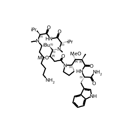 CC[C@H](C)[C@@H]([C@@H](CC(=O)N1CCC[C@H]1[C@H](OC)[C@@H](C)C(=O)N[C@@H](Cc1c[nH]c2ccccc12)C(N)=O)OC)N(C)[C@H](C(=O)NC(=O)[C@H](C(C)C)N(C)CCCCCCN)C(C)C